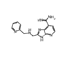 N=C(N)c1ccnc2[nH]c(CNCc3ccccn3)nc12